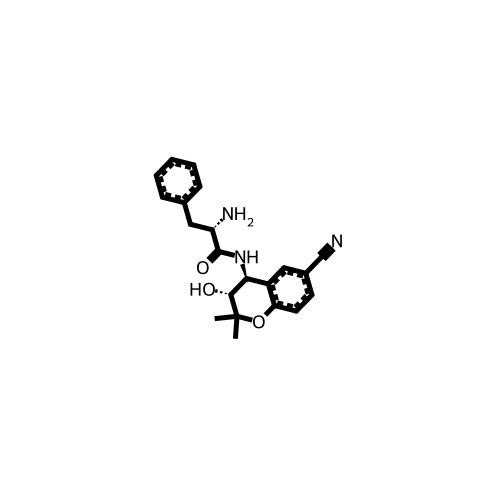 CC1(C)Oc2ccc(C#N)cc2[C@H](NC(=O)[C@@H](N)Cc2ccccc2)[C@H]1O